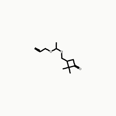 C=CCOC(C)OCC1CC(=O)C1(C)C